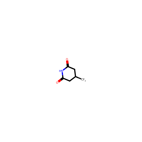 O=C1CC(C(F)(F)F)CC(=O)N1